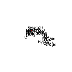 COc1c(N2CCN(CN3CCN(c4c(F)c(C)c5c(=O)c(C(=O)OCC(=O)[C@@]6(O)[C@@H](C)C[C@H]7[C@@H]8CCC9=CC(=O)C=C[C@]9(C)[C@@]8(F)[C@@H](O)C[C@@]76C)c(C)n(C6CC6)c5c4OC)CC3C)CC2)c(F)c(C)c2c(=O)c(C(=O)O)c(C)n(C3CC3)c12